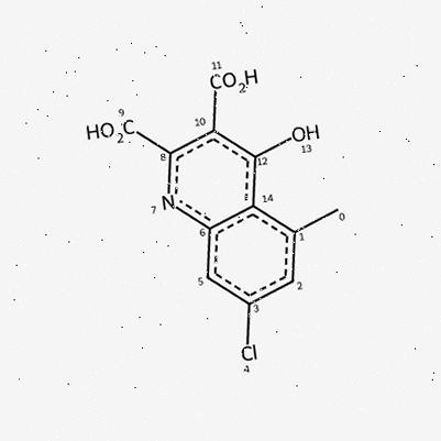 Cc1cc(Cl)cc2nc(C(=O)O)c(C(=O)O)c(O)c12